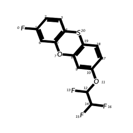 Fc1ccc2c(c1)Oc1cc(OC(F)C(F)F)ccc1S2